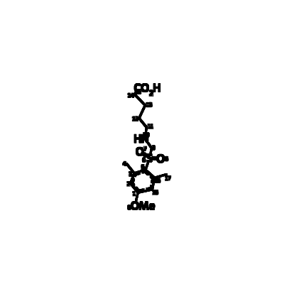 COc1cc(C)c(S(=O)(=O)CNCCCCC(=O)O)c(C)c1